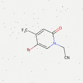 N#CCn1cc(Br)c(C(F)(F)F)cc1=O